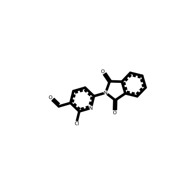 O=Cc1ccc(N2C(=O)c3ccccc3C2=O)nc1Cl